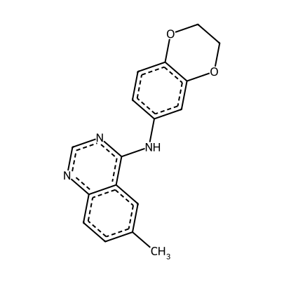 Cc1ccc2ncnc(Nc3ccc4c(c3)OCCO4)c2c1